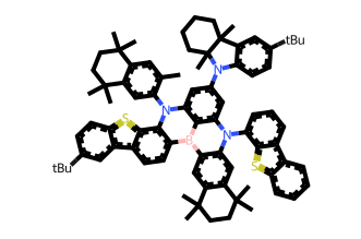 Cc1cc2c(cc1N1c3cc(N4c5ccc(C(C)(C)C)cc5C5(C)CCCCC45C)cc4c3B(c3cc5c(cc3N4c3cccc4c3sc3ccccc34)C(C)(C)CCC5(C)C)c3ccc4c(sc5ccc(C(C)(C)C)cc54)c31)C(C)(C)CCC2(C)C